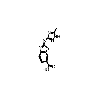 Cc1nc(Sc2nc3ccc(C(=O)O)cc3s2)n[nH]1